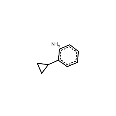 N.c1ccc(C2CC2)cc1